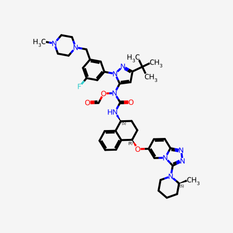 C[C@H]1CCCCN1c1nnc2ccc(O[C@@H]3CC[C@H](NC(=O)N(OC=O)c4cc(C(C)(C)C)nn4-c4cc(F)cc(CN5CCN(C)CC5)c4)c4ccccc43)cn12